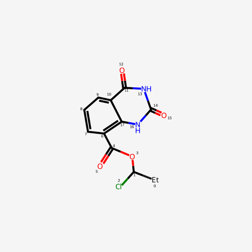 CCC(Cl)OC(=O)c1cccc2c(=O)[nH]c(=O)[nH]c12